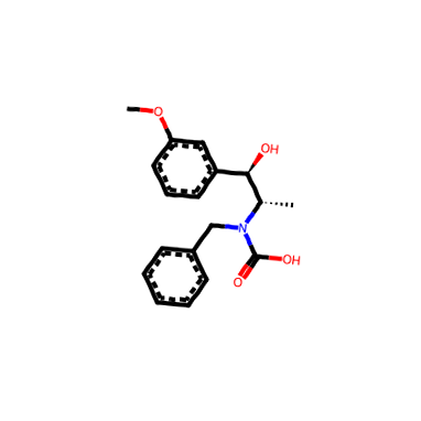 COc1cccc([C@@H](O)[C@H](C)N(Cc2ccccc2)C(=O)O)c1